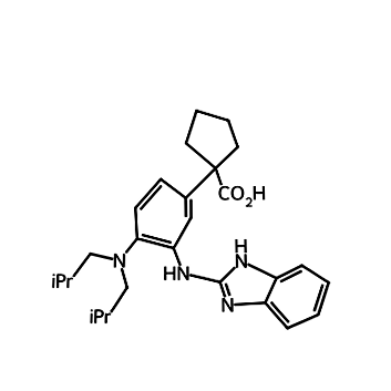 CC(C)CN(CC(C)C)c1ccc(C2(C(=O)O)CCCC2)cc1Nc1nc2ccccc2[nH]1